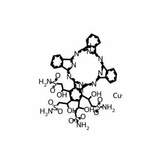 NS(=O)(=O)CC(O)c1c(C(O)CS(N)(=O)=O)c(C(O)CS(N)(=O)=O)c2c3nc4nc(nc5[nH]c(nc6nc(nc([nH]3)c2c1C(O)CS(N)(=O)=O)-c1ccccc1-6)c1ccccc51)-c1ccccc1-4.[Cu]